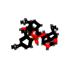 Cc1ccc(S(=O)(=O)OC2C3OC4OC(C3C)C(OC(=O)C35CCC(C)(C(=O)O3)C5(C)C)C2O4)cc1